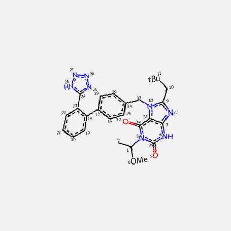 COC(C)n1c(=O)[nH]c2nc(CC(C)(C)C)n(Cc3ccc(-c4ccccc4-c4nnn[nH]4)cc3)c2c1=O